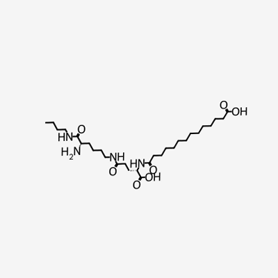 CCCCNC(=O)[C@@H](N)CCCCNC(=O)CC[C@H](NC(=O)CCCCCCCCCCCCC(=O)O)C(=O)O